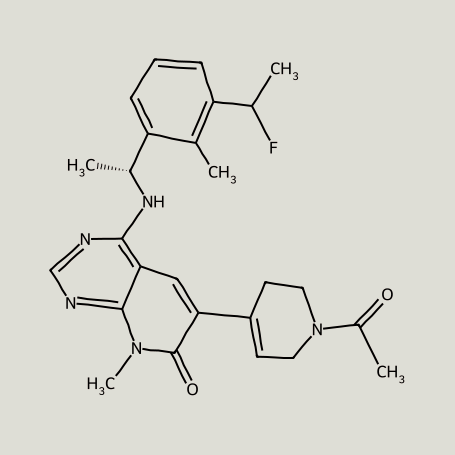 CC(=O)N1CC=C(c2cc3c(N[C@H](C)c4cccc(C(C)F)c4C)ncnc3n(C)c2=O)CC1